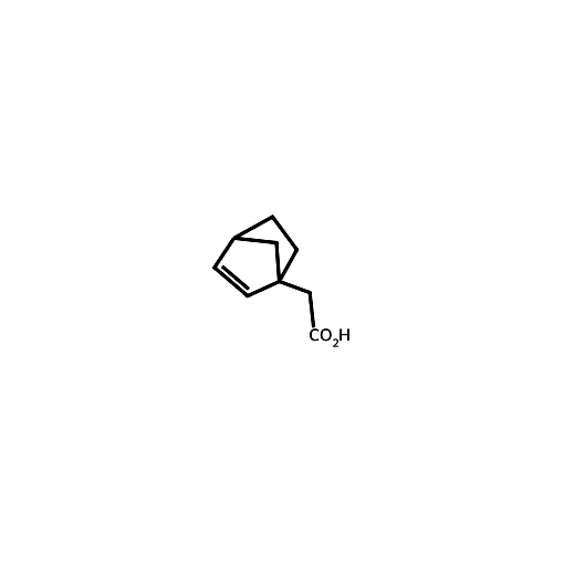 O=C(O)CC12C=CC(CC1)C2